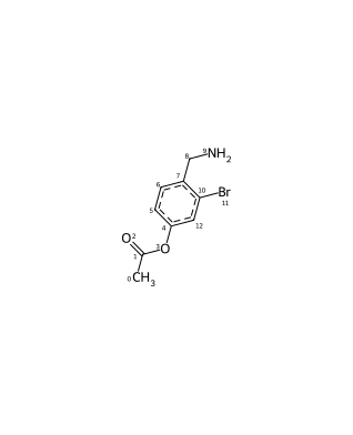 CC(=O)Oc1ccc(CN)c(Br)c1